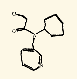 O=C(CCl)N(c1cccnc1)C1CCCCC1